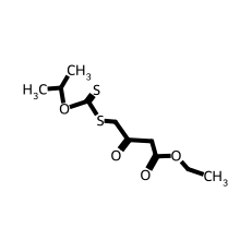 CCOC(=O)CC(=O)CSC(=S)OC(C)C